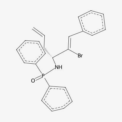 C=CC[C@@H](NP(=O)(c1ccccc1)c1ccccc1)/C(Br)=C/c1ccccc1